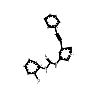 O=C(Nc1cncc(C#Cc2ccccc2)c1)Nc1ccccc1Cl